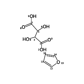 O=C(O)C(O)C(O)C(=O)O.c1ccoc1